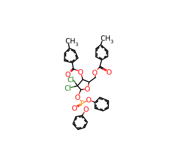 Cc1ccc(C(=O)OCC2OC(OP(=O)(Oc3ccccc3)Oc3ccccc3)C(Cl)(Cl)C2OC(=O)c2ccc(C)cc2)cc1